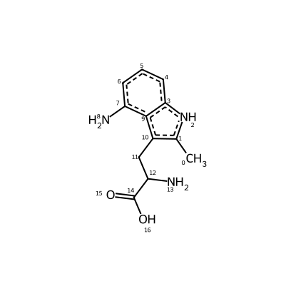 Cc1[nH]c2cccc(N)c2c1CC(N)C(=O)O